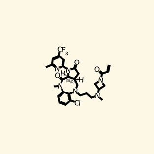 C=CC(=O)N1CC(N(C)CCCN2C[C@H]3CC(=O)N(c4cc(C(F)(F)F)cc(C)n4)[C@@H]3C(=O)N(C)c3cccc(Cl)c32)C1